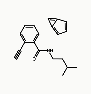 C#Cc1ccccc1C(=O)NCCC(C)C.c1cc2cc-2c1